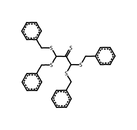 S=C(C(SCc1ccccc1)SCc1ccccc1)C(SCc1ccccc1)SCc1ccccc1